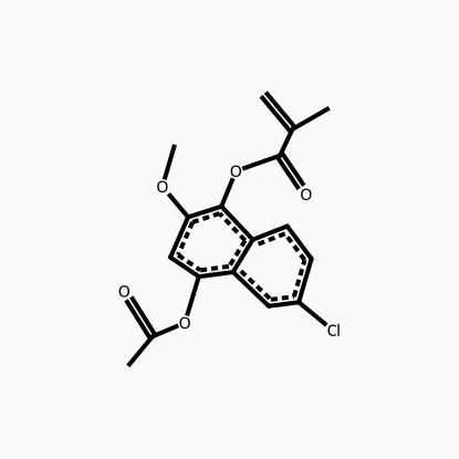 C=C(C)C(=O)Oc1c(OC)cc(OC(C)=O)c2cc(Cl)ccc12